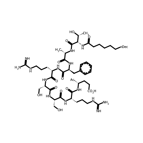 CCCCCCCCCCCCCCCC(=O)N[C@H](C(=O)N[C@@H](C)C(=O)N[C@@H](Cc1ccccc1)C(=O)N[C@@H](CCCNC(=N)N)C(=O)N[C@@H](CO)C(=O)N[C@@H](CO)C(=O)N[C@@H](CCCNC(=N)N)C(=O)N[C@@H](CCC(=O)O)C(C)=O)[C@@H](C)O